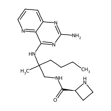 CCCCC(C)(CNC(=O)[C@@H]1CCN1)Nc1nc(N)nc2cccnc12